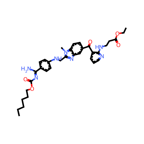 CCCCCCOC(=O)N=C(N)c1ccc(NCc2nc3cc(C(=O)c4cccnc4NCCC(=O)OCC)ccc3n2C)cc1